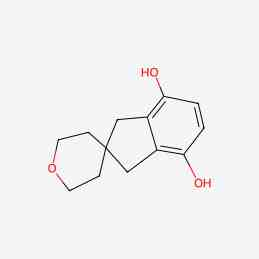 Oc1ccc(O)c2c1CC1(CCOCC1)C2